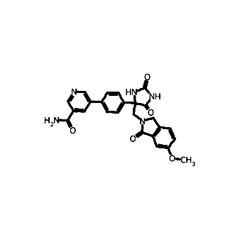 COc1ccc2c(c1)C(=O)N(CC1(c3ccc(-c4cncc(C(N)=O)c4)cc3)NC(=O)NC1=O)C2